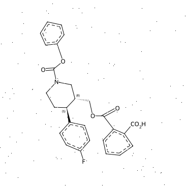 O=C(O)c1ccccc1C(=O)OC[C@H]1CN(C(=O)Oc2ccccc2)CC[C@@H]1c1ccc(F)cc1